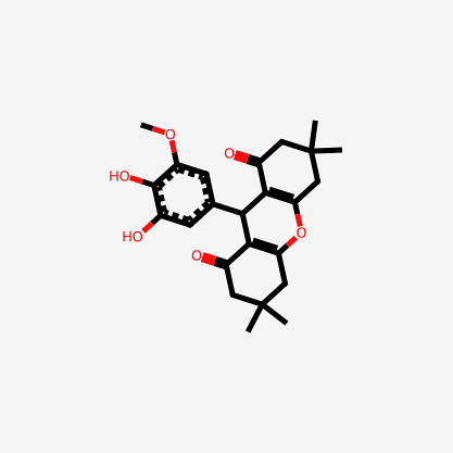 COc1cc(C2C3=C(CC(C)(C)CC3=O)OC3=C2C(=O)CC(C)(C)C3)cc(O)c1O